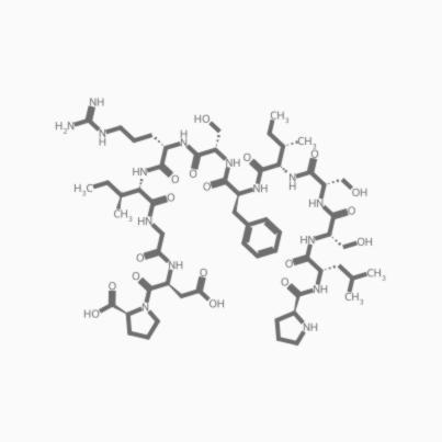 CC[C@H](C)[C@H](NC(=O)[C@H](CCCNC(=N)N)NC(=O)[C@H](CO)NC(=O)[C@H](Cc1ccccc1)NC(=O)[C@@H](NC(=O)[C@H](CO)NC(=O)[C@H](CO)NC(=O)[C@H](CC(C)C)NC(=O)[C@@H]1CCCN1)[C@@H](C)CC)C(=O)NCC(=O)N[C@@H](CC(=O)O)C(=O)N1CCC[C@H]1C(=O)O